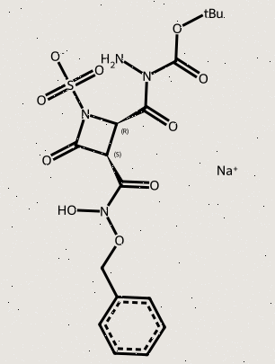 CC(C)(C)OC(=O)N(N)C(=O)[C@H]1[C@@H](C(=O)N(O)OCc2ccccc2)C(=O)N1S(=O)(=O)[O-].[Na+]